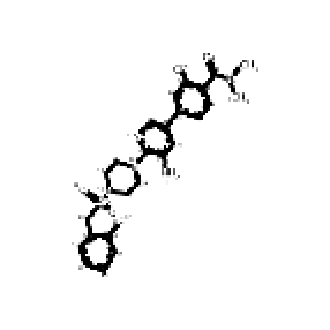 CN(C)C(=O)c1ccc(-c2cnc(N3CCN(S(=O)(=O)Cc4ccccc4F)CC3)c(N)c2)cc1Cl